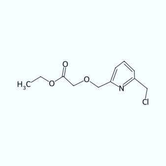 CCOC(=O)COCc1cccc(CCl)n1